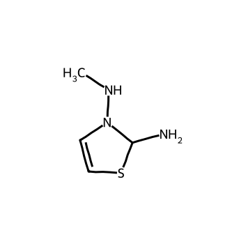 CNN1C=CSC1N